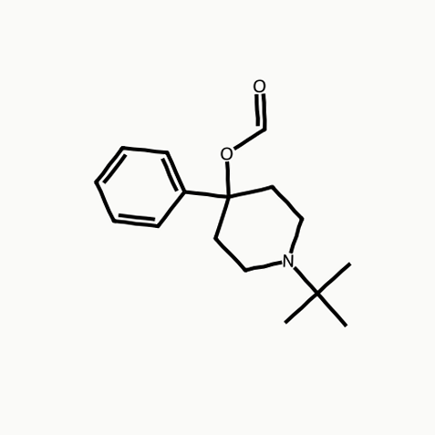 CC(C)(C)N1CCC(OC=O)(c2ccccc2)CC1